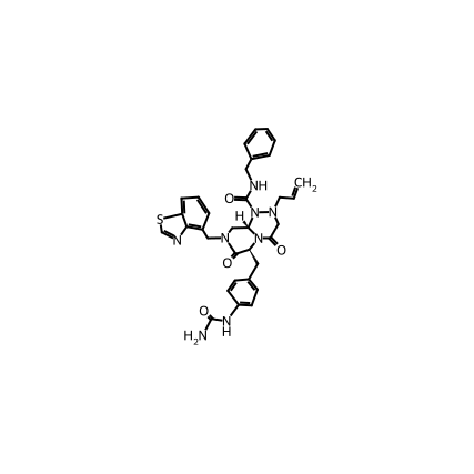 C=CCN1CC(=O)N2[C@@H](Cc3ccc(NC(N)=O)cc3)C(=O)N(Cc3cccc4scnc34)C[C@@H]2N1C(=O)NCc1ccccc1